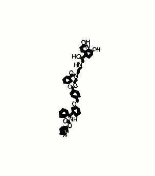 O=C(N[C@@H](c1ccccc1)c1cccc(OCc2ccc(C(=O)OCCN(CCCNCC(O)c3ccc(O)c4[nH]c(=O)ccc34)C(=O)c3ccccc3)cc2)c1)OC1CN2CCC1CC2